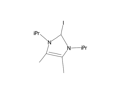 CC1=C(C)N(C(C)C)C(I)N1C(C)C